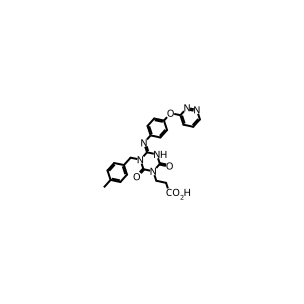 Cc1ccc(Cn2c(=O)n(CCC(=O)O)c(=O)[nH]/c2=N\c2ccc(Oc3cccnn3)cc2)cc1